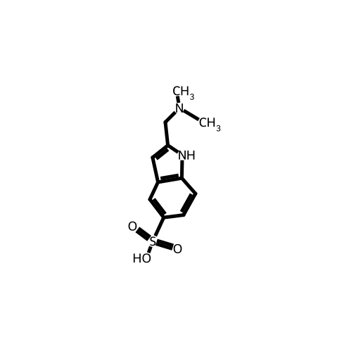 CN(C)Cc1cc2cc(S(=O)(=O)O)ccc2[nH]1